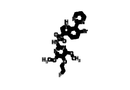 COc1nc(NS(=O)(=O)c2c[nH]c3c(-c4ncccn4)c(Br)ccc23)nc(OC)c1OCCF